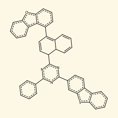 C1=CC2=C(c3cccc4oc5ccccc5c34)C=CC(c3nc(-c4ccccc4)nc(-c4ccc5c(c4)sc4ccccc45)n3)C2C=C1